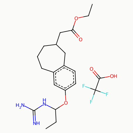 CCOC(=O)CC1CCCc2cc(OC(CC)NC(=N)N)ccc2C1.O=C(O)C(F)(F)F